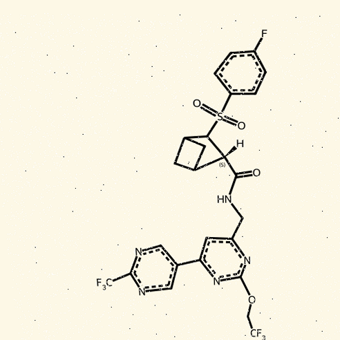 O=C(NCc1cc(-c2cnc(C(F)(F)F)nc2)nc(OCC(F)(F)F)n1)[C@@H]1C2CC(C2)C1S(=O)(=O)c1ccc(F)cc1